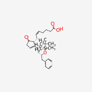 CC(C)(C)[Si](C)(C)O[C@@H](CCC1=CCC(=O)[C@@H]1C/C=C\CCCC(=O)O)Cc1ccccc1